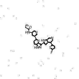 CC(C)CC(=O)Nc1cncc(-c2ccc3[nH]nc(-c4cc5c(-c6ccc(F)s6)cncc5[nH]4)c3n2)c1